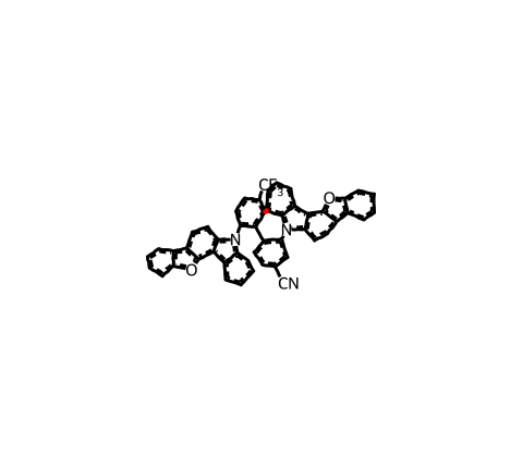 N#Cc1ccc(-c2cc(C(F)(F)F)ccc2-n2c3ccccc3c3c4oc5ccccc5c4ccc32)c(-n2c3ccccc3c3c4oc5ccccc5c4ccc32)c1